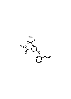 C=CCc1ccccc1O[C@@H]1C[C@@H](C(=O)OC)N(C(=O)OC(C)(C)C)C1